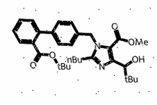 CCCCc1nc(C(O)C(C)(C)C)c(C(=O)OC)n1Cc1ccc(-c2ccccc2C(=O)OC(C)(C)C)cc1